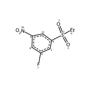 CCS(=O)(=O)c1cc(F)cc([N+](=O)[O-])c1